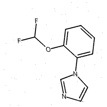 FC(F)Oc1ccccc1-n1c[c]nc1